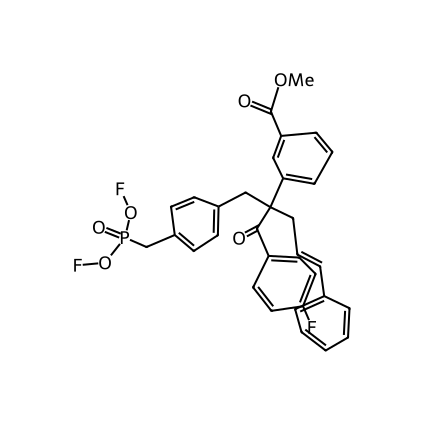 COC(=O)c1cccc(C(CC=Cc2ccccc2)(Cc2ccc(CP(=O)(OF)OF)cc2)C(=O)c2ccc(F)cc2)c1